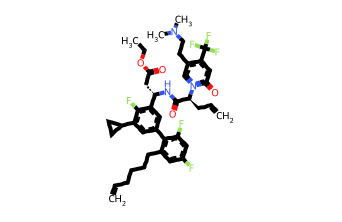 C=CCCCCc1cc(F)cc(F)c1-c1cc(C2CC2)c(F)c([C@H](CC(=O)OCC)NC(=O)[C@H](CC=C)n2cc(CCN(C)C)c(C(F)(F)F)cc2=O)c1